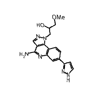 COCC(O)Cn1ncc2c(N)nc3cc(-c4cc[nH]n4)ccc3c21